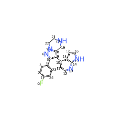 Fc1ccc(-c2nn3c(c2-c2ccnc4[nH]ccc24)CNCC3)cc1